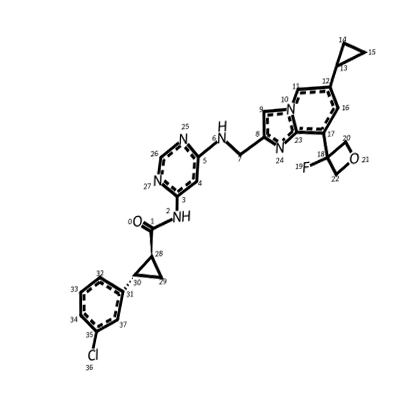 O=C(Nc1cc(NCc2cn3cc(C4CC4)cc(C4(F)COC4)c3n2)ncn1)[C@H]1C[C@@H]1c1cccc(Cl)c1